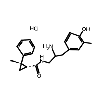 Cc1cc(CC(N)CNC(=O)[C@@H]2C[C@]2(C)c2ccccc2)ccc1O.Cl